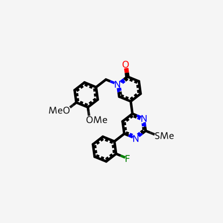 COc1ccc(Cn2cc(-c3cc(-c4ccccc4F)nc(SC)n3)ccc2=O)cc1OC